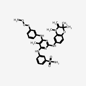 C=C1N(C)c2cc(Nc3nc(Nc4cccc(SOON)c4)c(C)c(Nc4cccc(S(N)(=O)=O)c4)n3)ccc2OC1(C)C